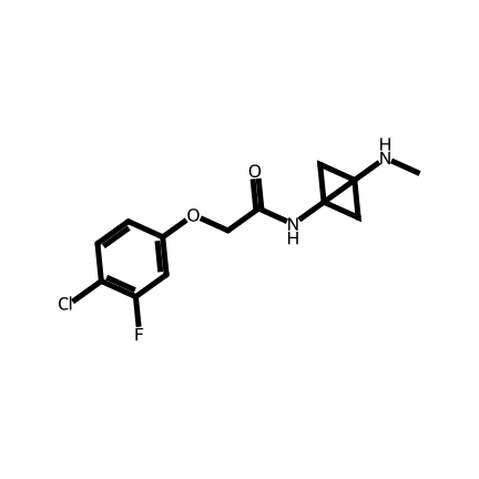 CNC12CC1(NC(=O)COc1ccc(Cl)c(F)c1)C2